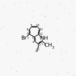 CC1=C(F)C=C2C(Br)=CC=CC=C2N1